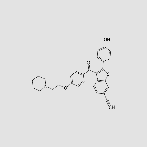 C#Cc1ccc2c(C(=O)c3ccc(OCCN4CCCCC4)cc3)c(-c3ccc(O)cc3)sc2c1